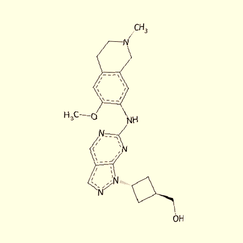 COc1cc2c(cc1Nc1ncc3cnn([C@H]4C[C@H](CO)C4)c3n1)CN(C)CC2